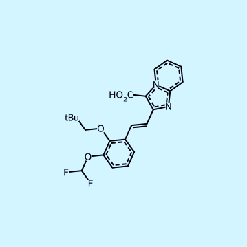 CC(C)(C)COc1c(/C=C/c2nc3ccccn3c2C(=O)O)cccc1OC(F)F